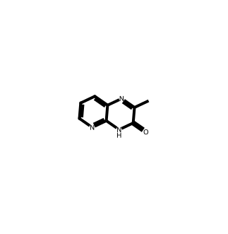 Cc1nc2cccnc2[nH]c1=O